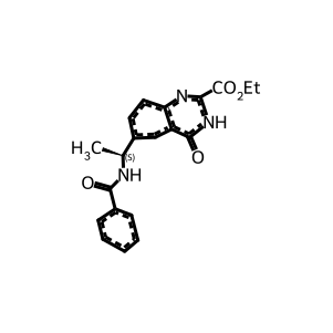 CCOC(=O)c1nc2ccc([C@H](C)NC(=O)c3ccccc3)cc2c(=O)[nH]1